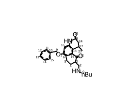 CCCCNCC1CCc2c(OCc3ccccc3)cc3c(c2C1=O)C(C)CC(=O)N3